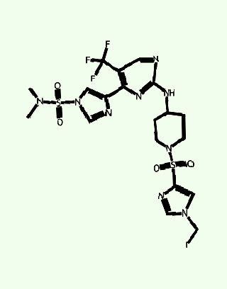 CN(C)S(=O)(=O)n1cnc(-c2nc(NC3CCN(S(=O)(=O)c4cn(CI)cn4)CC3)ncc2C(F)(F)F)c1